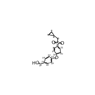 O=S(=O)(CC1CC1)c1ccc(Oc2ccc(CO)cc2)cc1